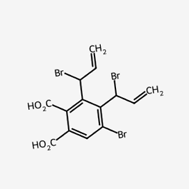 C=CC(Br)c1c(Br)cc(C(=O)O)c(C(=O)O)c1C(Br)C=C